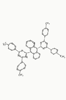 Cc1ccc(-c2nc(-c3ccc(C)cc3)nc(-c3c4ccccc4c(-c4nc(-c5ccc(C)cc5)nc(-c5ccc(C)cc5)n4)c4ccccc34)n2)cc1